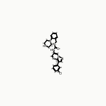 O=C(NCc1ccccc1N1CCNCC1)Nc1cnc2c(-c3cccc(Cl)c3)cnn2c1